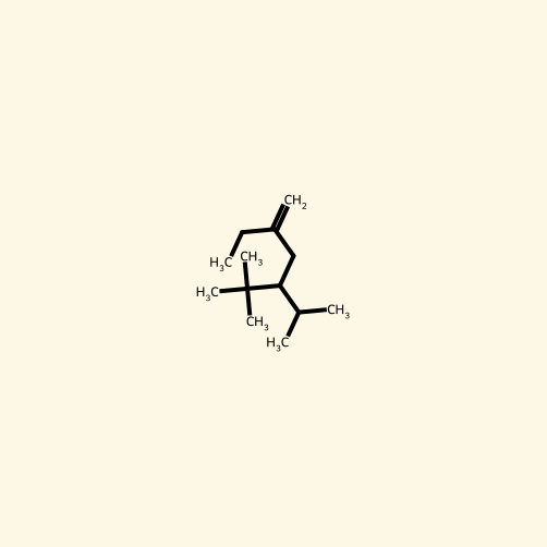 C=C(CC)CC(C(C)C)C(C)(C)C